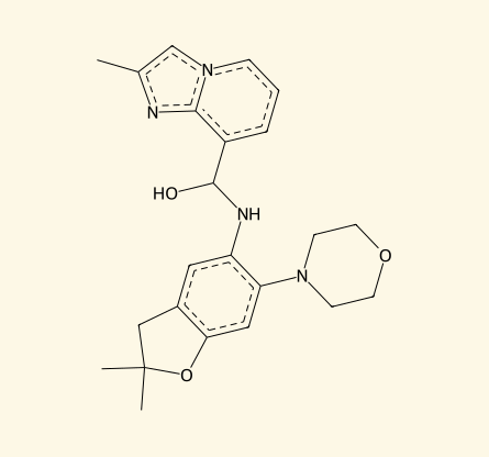 Cc1cn2cccc(C(O)Nc3cc4c(cc3N3CCOCC3)OC(C)(C)C4)c2n1